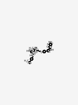 Cc1ncsc1-c1ccc(CNC(=O)[C@@H]2C[C@@H](O)CN2C(=O)C(NC(=O)CCCOc2ccc(-c3cnc4[nH]cc(C(=O)c5c(F)ccc(N)c5F)c4c3)cc2)C(C)(C)C)cc1